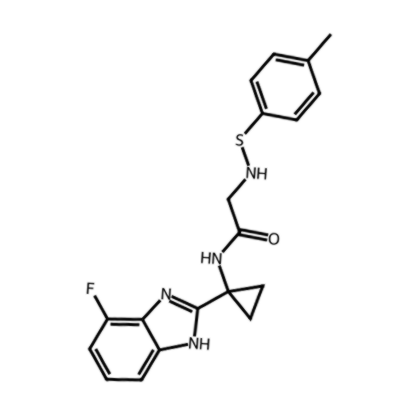 Cc1ccc(SNCC(=O)NC2(c3nc4c(F)cccc4[nH]3)CC2)cc1